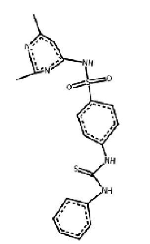 Cc1cc(NS(=O)(=O)c2ccc(NC(=S)Nc3ccccc3)cc2)nc(C)n1